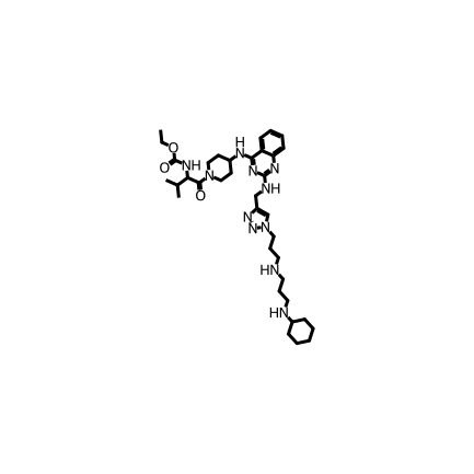 CCOC(=O)NC(C(=O)N1CCC(Nc2nc(NCc3cn(CCCNCCCNC4CCCCC4)nn3)nc3ccccc23)CC1)C(C)C